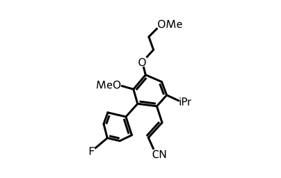 COCCOc1cc(C(C)C)c(C=CC#N)c(-c2ccc(F)cc2)c1OC